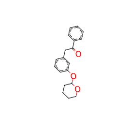 O=C(Cc1cccc(OC2CCCCO2)c1)c1ccccc1